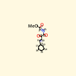 COC(=O)CN(C)C(=O)C(=O)/C=C/c1ccccc1